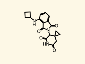 O=C1CC2(CC2)C(N2C(=O)c3cccc(NC4CCC4)c3C2=O)C(=O)N1